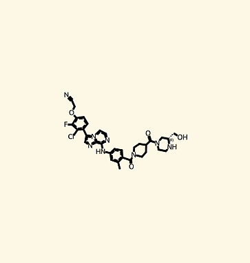 Cc1cc(Nc2nccn3c(-c4ccc(OCC#N)c(F)c4Cl)cnc23)ccc1C(=O)N1CCC(C(=O)N2CCN[C@@H](CO)C2)CC1